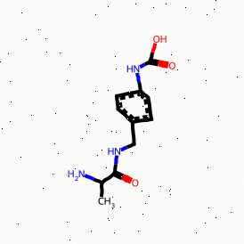 CC(N)C(=O)NCc1ccc(NC(=O)O)cc1